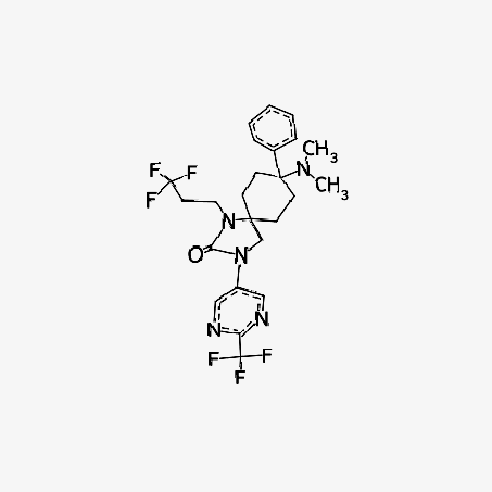 CN(C)C1(c2ccccc2)CCC2(CC1)CN(c1cnc(C(F)(F)F)nc1)C(=O)N2CCC(F)(F)F